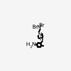 Cc1ccc(N)cc1CN1CCN(CCN(Br)Br)CC1